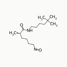 C[C@H](CCCCN=O)C(=O)NCCCCC(C)(C)C